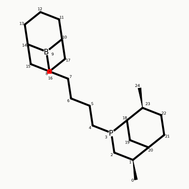 C[C@H]1CP(CCCCCB2C3CCCC2CCC3)C2CC1CC[C@@H]2C